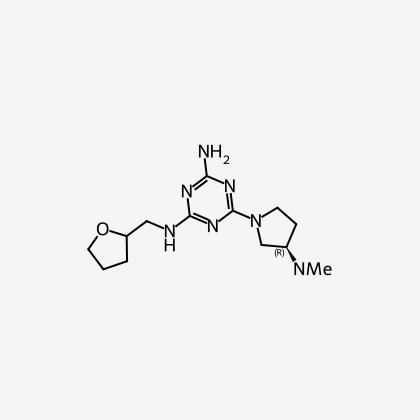 CN[C@@H]1CCN(c2nc(N)nc(NCC3CCCO3)n2)C1